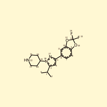 CC(C)c1cc(-c2ccc3c(c2)OC(F)(F)O3)nn1C1CCNCC1